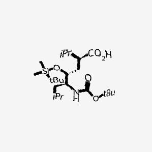 CC(C)C[C@H](NC(=O)OC(C)(C)C)[C@@H](C[C@H](C(=O)O)C(C)C)O[Si](C)(C)C(C)(C)C